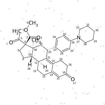 COC(=O)[C@]1(C(C)=O)CC[C@H]2[C@@H]3CCC4=CC(=O)CCC4=C3[C@@H](c3ccc(N4CCCCC4)cc3)C[C@@]21C